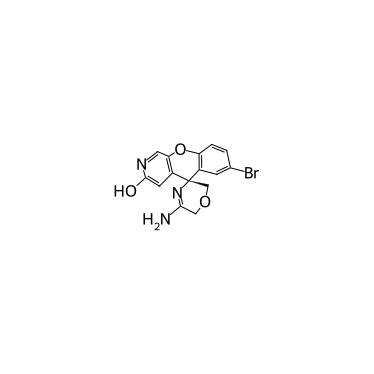 NC1=N[C@@]2(COC1)c1cc(Br)ccc1Oc1cnc(O)cc12